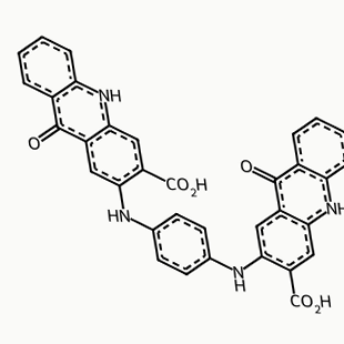 O=C(O)c1cc2[nH]c3ccccc3c(=O)c2cc1Nc1ccc(Nc2cc3c(=O)c4ccccc4[nH]c3cc2C(=O)O)cc1